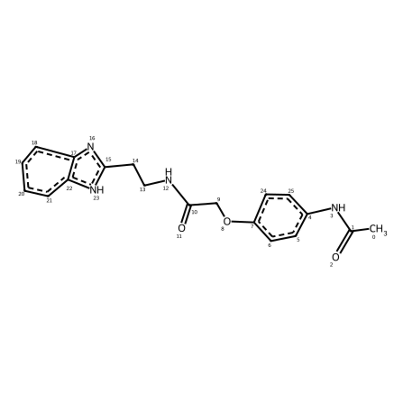 CC(=O)Nc1ccc(OCC(=O)NCCc2nc3ccccc3[nH]2)cc1